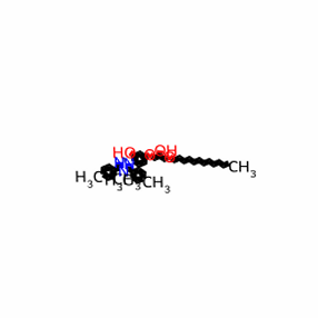 CCCCCCCCCCCCCOCC(O)COc1ccc(N2CN=C(c3ccc(C)cc3C)N=C2c2ccc(C)cc2C)c(O)c1